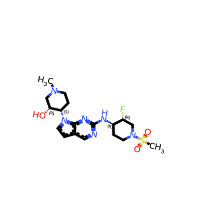 CN1CC[C@H](n2ccc3cnc(N[C@@H]4CCN(S(C)(=O)=O)C[C@H]4F)nc32)[C@H](O)C1